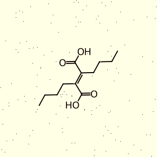 CCCC/C(C(=O)O)=C(/CCCC)C(=O)O